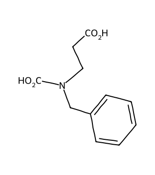 O=C(O)CCN(Cc1ccccc1)C(=O)O